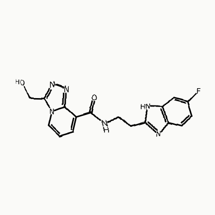 O=C(NCCc1nc2ccc(F)cc2[nH]1)c1cccn2c(CO)nnc12